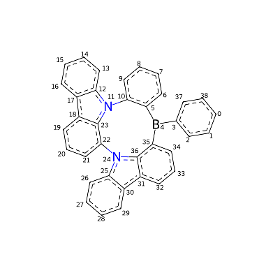 c1ccc(B2c3ccccc3-n3c4ccccc4c4cccc(c43)-n3c4ccccc4c4cccc2c43)cc1